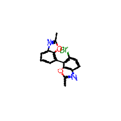 Cc1nc2cccc(-c3c(Br)ccc4nc(C)oc34)c2o1